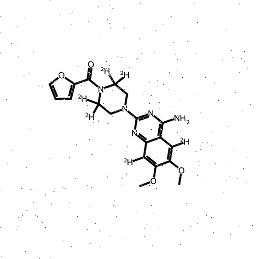 [2H]c1c(OC)c(OC)c([2H])c2c(N)nc(N3CC([2H])([2H])N(C(=O)c4ccco4)C([2H])([2H])C3)nc12